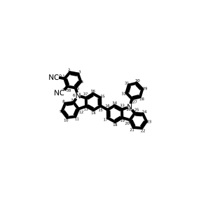 N#Cc1cccc(-n2c3ccccc3c3cc(-c4ccc5c6ccccc6n(-c6ccccc6)c5c4)ccc32)c1C#N